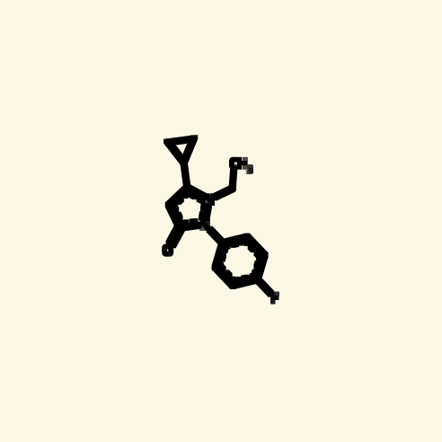 CCn1c(C2CC2)cc(=O)n1-c1ccc(F)cc1